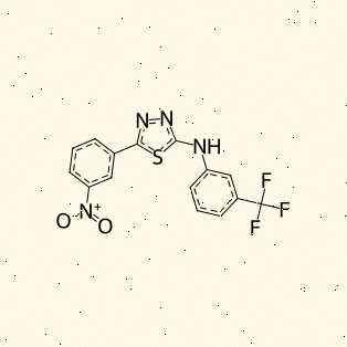 O=[N+]([O-])c1cccc(-c2nnc(Nc3cccc(C(F)(F)F)c3)s2)c1